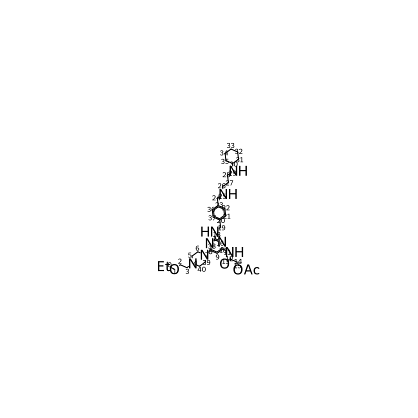 CCOCCN1CCN(c2cc(NC(=O)COC(C)=O)nc(NCc3ccc(CNCCCNC4CCCCC4)cc3)n2)CC1